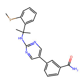 CSc1ccccc1C(C)(C)Nc1ncc(-c2cccc(C(N)=O)c2)cn1